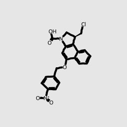 O=C(O)N1C[C@@H](CCl)c2c1cc(OCc1ccc([N+](=O)[O-])cc1)c1ccccc21